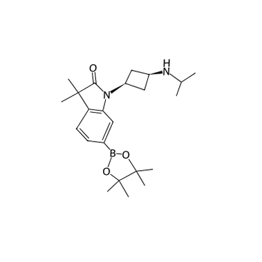 CC(C)N[C@H]1C[C@@H](N2C(=O)C(C)(C)c3ccc(B4OC(C)(C)C(C)(C)O4)cc32)C1